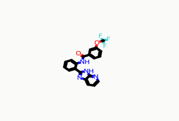 O=C(Nc1ccccc1-c1nc2cccnc2[nH]1)c1cccc(OC(F)(F)F)c1